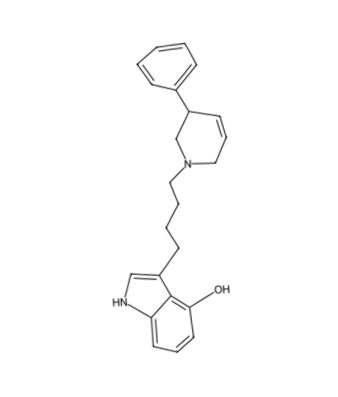 Oc1cccc2[nH]cc(CCCCN3CC=CC(c4ccccc4)C3)c12